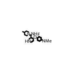 CNc1ccc(OC2=C(C(=N)N3CCC(C)CC3)CNC=C2)c(F)c1